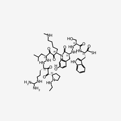 CCNN1CCC[C@H]1C(=O)C(=O)[C@H](CCCNC(N)N)NN[C@@H](CC(C)C)C(=O)C(=O)[C@@H](CCCCNC)NC(=O)[C@H](Cc1ccc(O)cc1)NN[C@@H](CO)C(=O)N[C@@H](Cc1c[nH]c2ccccc12)C(=O)S